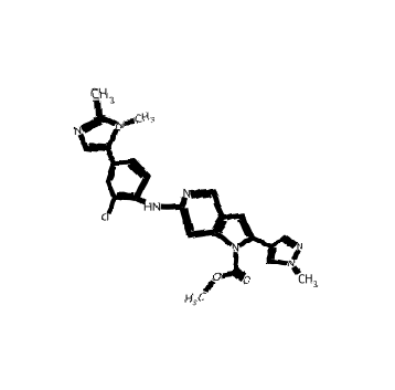 COC(=O)n1c(-c2cnn(C)c2)cc2cnc(Nc3ccc(-c4cnc(C)n4C)cc3Cl)cc21